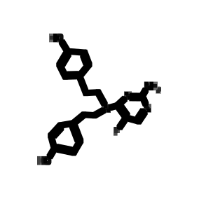 Nc1ncc(F)c(N(CCc2ccc(O)cc2)CCc2ccc(O)cc2)n1